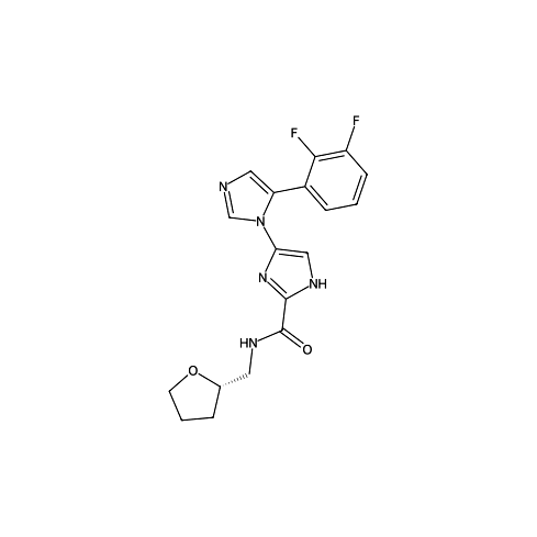 O=C(NC[C@@H]1CCCO1)c1nc(-n2cncc2-c2cccc(F)c2F)c[nH]1